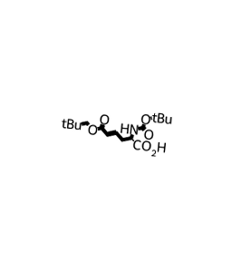 CC(C)(C)COC(=O)C=CC[C@H](NC(=O)OC(C)(C)C)C(=O)O